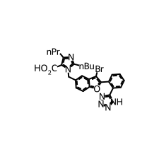 CCCCc1nc(CCC)c(C(=O)O)n1Cc1ccc2oc(-c3ccccc3-c3nnn[nH]3)c(Br)c2c1